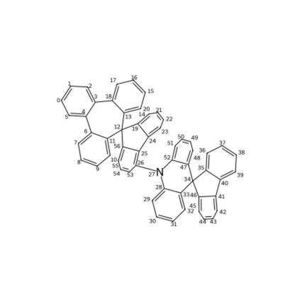 c1ccc2c(c1)-c1ccccc1C1(c3ccccc3-2)c2ccccc2-c2c(N3c4ccccc4C4(c5ccccc5-c5ccccc54)c4ccccc43)cccc21